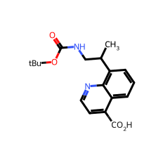 CC(CNC(=O)OC(C)(C)C)c1cccc2c(C(=O)O)ccnc12